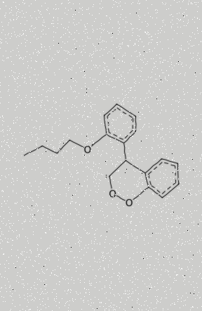 CCCCOc1ccccc1C1[C]OOc2ccccc21